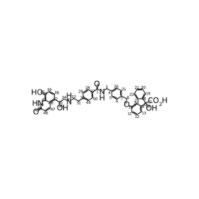 O=C(NCc1ccc(COc2cccc(C(O)(C(=O)O)c3ccccc3)c2)cc1)c1ccc(CCNCC(O)c2ccc(O)c3[nH]c(=O)ccc23)cc1